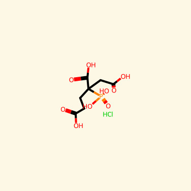 Cl.O=C(O)CCC(CC(=O)O)(C(=O)O)P(=O)(O)O